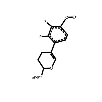 CCCCCC1CCC(c2ccc(OCC)c(F)c2F)=CO1